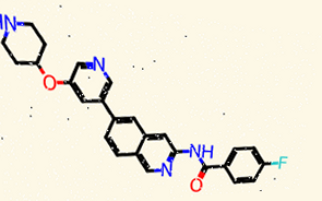 O=C(Nc1cc2cc(-c3cncc(OC4CCNCC4)c3)ccc2cn1)c1ccc(F)cc1